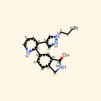 CC(C)CCn1cc(-c2cccnc2-c2ccc3c(c2)C(=O)NC3)cn1